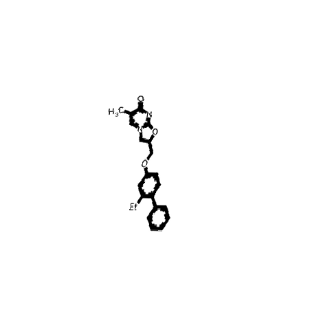 CCc1cc(OCC2Cn3cc(C)c(=O)nc3O2)ccc1-c1ccccc1